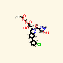 CCCC(=O)OCOC(=O)[C@H](O)C[C@@H](Cc1ccc(-c2cccc(Cl)c2)cc1)NC(=O)C1=NN(C)C(O)C1